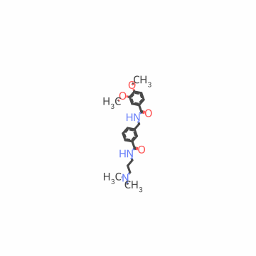 COc1ccc(C(=O)NCc2cccc(C(=O)NCCCN(C)C)c2)cc1OC